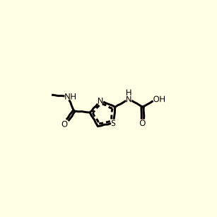 CNC(=O)c1csc(NC(=O)O)n1